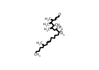 C=C(C/C=C/CCCC[C@H](C)C(=C)CC(=C)[C@H](C)C(=C)C(=C)/C=C/C=O)CCCCC